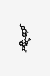 C=Cc1ccc2c(c1)Cc1ccc(CCC3=C(C4CC4)CN=C3c3c(C)cccc3N)nc1C(C)=C2